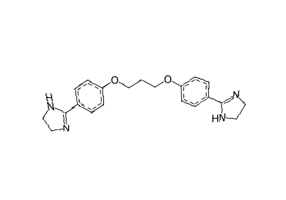 c1cc(C2=NCCN2)ccc1OCCCOc1ccc(C2=NCCN2)cc1